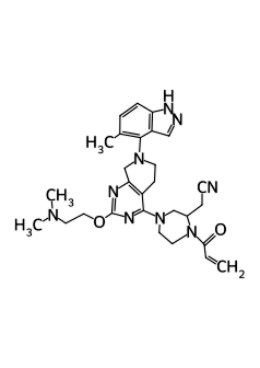 C=CC(=O)N1CCN(c2nc(OCCN(C)C)nc3c2CCN(c2c(C)ccc4[nH]ncc24)C3)CC1CC#N